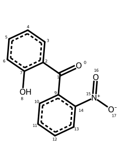 O=C(c1ccccc1O)c1ccccc1[N+](=O)[O-]